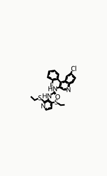 CCSc1ccnc(SCC)c1NC(=O)Nc1cnc2ccc(Cl)cc2c1-c1ccccc1F